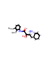 COc1cccc(NC(=O)C(O)[C@H](N)CC2CCCCC2)c1OC